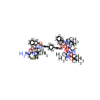 C[C@@H](C(=O)N[C@H]1CCS[C@H]2CC(C)(C)[C@@H](C(=O)N[C@H]3c4ccccc4C[C@H]3OCC#Cc3ccc(C#CCO[C@@H]4Cc5ccccc5[C@@H]4NC(=O)[C@H]4N5C(=O)[C@@H](N)CCS[C@H]5CC4(C)C)cc3)N2C1=O)N(C)C(=O)OC(C)(C)C